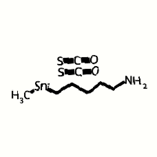 O=C=S.O=C=S.[CH3][Sn][CH2]CCCCN